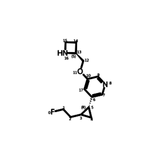 FCCC1C[C@H]1c1cncc(OC[C@@H]2CCN2)c1